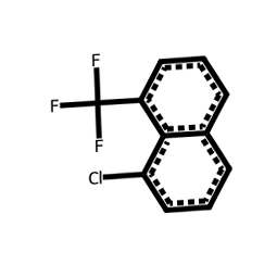 FC(F)(F)c1cccc2cccc(Cl)c12